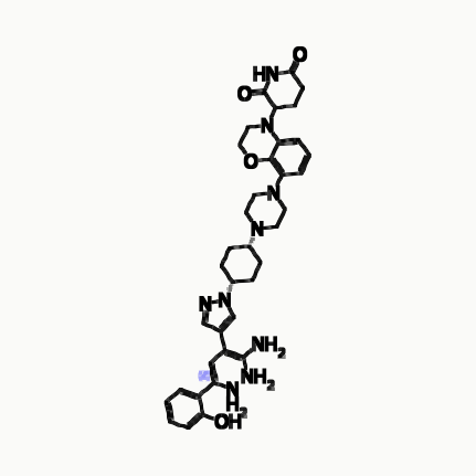 NC(N)=C(/C=C(\N)c1ccccc1O)c1cnn([C@H]2CC[C@@H](N3CCN(c4cccc5c4OCCN5C4CCC(=O)NC4=O)CC3)CC2)c1